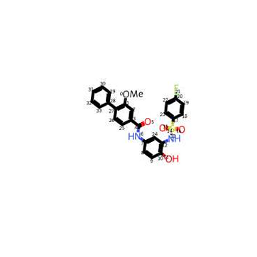 COc1cc(C(=O)Nc2ccc(O)c(NS(=O)(=O)c3ccc(F)cc3)c2)ccc1-c1ccccc1